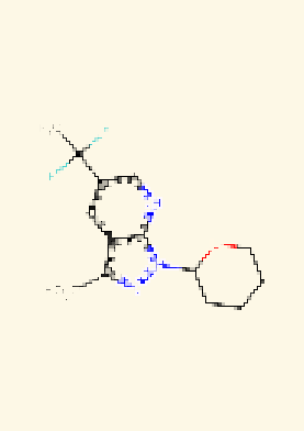 O=C(O)c1nn(C2CCCCO2)c2ncc(C(F)(F)C(F)(F)F)cc12